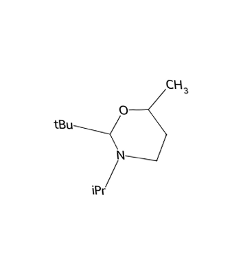 CC1CCN(C(C)C)C(C(C)(C)C)O1